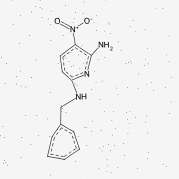 Nc1nc(NCc2ccccc2)ccc1[N+](=O)[O-]